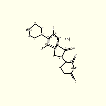 Cl.O=C1CCC(N2Cc3c(cc(F)c(N4CCNCC4)c3F)C2=O)C(=O)N1